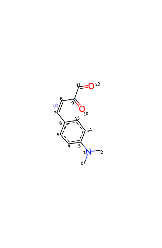 CN(C)c1ccc(/C=C\C(=O)C=O)cc1